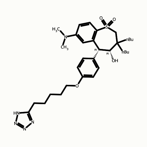 CCCCC1(CCCC)CS(=O)(=O)c2ccc(N(C)C)cc2[C@@H](c2ccc(OCCCCCc3nnn[nH]3)cc2)[C@H]1O